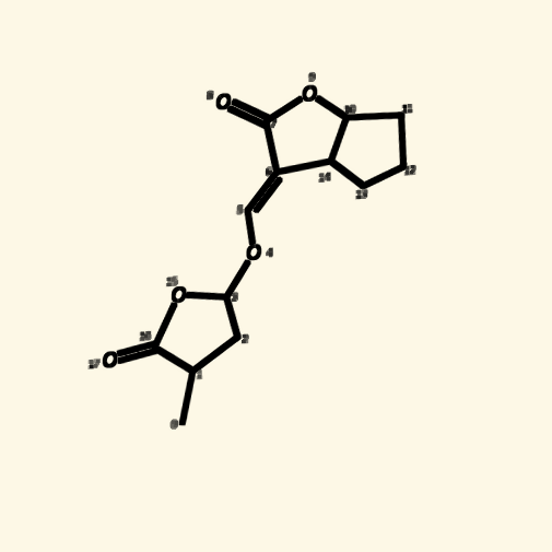 CC1CC(O/C=C2/C(=O)OC3CCCC23)OC1=O